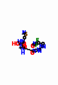 Cc1ncsc1-c1ccc(CNC(=O)[C@@H]2C[C@@H](O)CN2C(=O)[C@@H](NC(=O)CCCCCCC(=O)N2CCC(n3cc(-c4cnc5cccc(-c6cc(F)c(CN7CCOCC7)c(F)c6)c5n4)cn3)CC2)C(C)(C)C)cc1